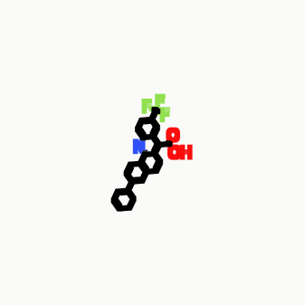 O=C(O)c1c2cc(C(F)(F)F)ccc2nc2c1ccc1cc(C3=CC=CCC3)ccc12